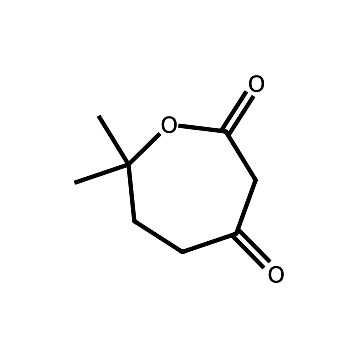 CC1(C)CCC(=O)CC(=O)O1